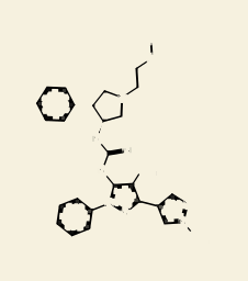 COCCN1C[C@@H](NC(=N)Nc2c(C)c(-c3cnn(C)c3)nn2-c2ccccc2)[C@H](c2ccccc2)C1